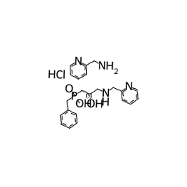 Cl.NCc1ccccn1.O=P(O)(Cc1ccccc1)C[C@@H](O)CNCc1ccccn1